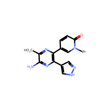 CC(C)n1cc(-c2nc(C(=O)O)c(N)nc2-c2cn[nH]c2)ccc1=O